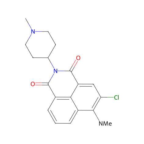 CNc1c(Cl)cc2c3c(cccc13)C(=O)N(C1CCN(C)CC1)C2=O